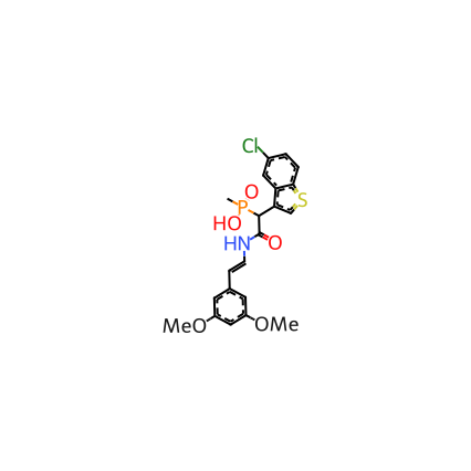 COc1cc(/C=C/NC(=O)C(c2csc3ccc(Cl)cc23)P(C)(=O)O)cc(OC)c1